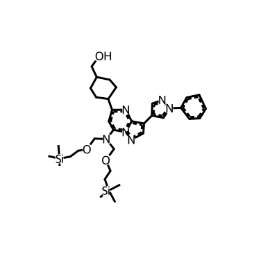 C[Si](C)(C)CCOCN(COCC[Si](C)(C)C)c1cc(C2CCC(CO)CC2)nc2c(-c3cnn(-c4ccccc4)c3)cnn12